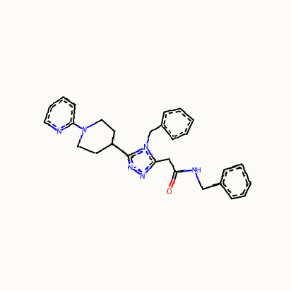 O=C(Cc1nnc(C2CCN(c3ccccn3)CC2)n1Cc1ccccc1)NCc1ccccc1